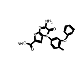 COC(=O)c1cc2c(nc(N)c(=O)n2-c2ccc(C)c(Oc3ccccc3)c2)s1